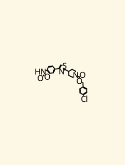 O=C(OCc1ccc(Cl)cc1)N1CCC(c2nc(-c3ccc4[nH]c(=O)oc4c3)cs2)CC1